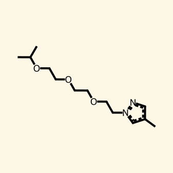 Cc1cnn(CCOCCOCCOC(C)C)c1